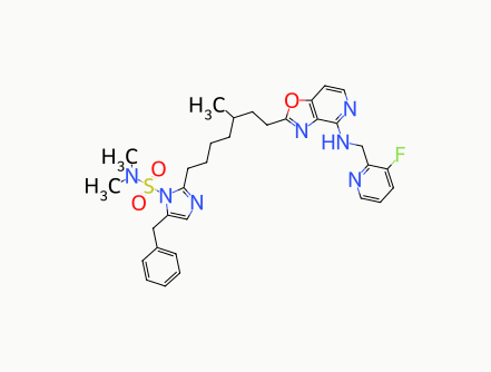 CC(CCCCc1ncc(Cc2ccccc2)n1S(=O)(=O)N(C)C)CCc1nc2c(NCc3ncccc3F)nccc2o1